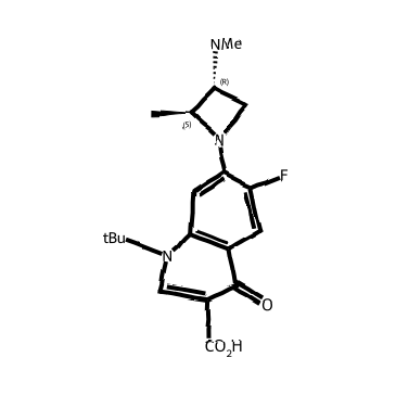 CN[C@@H]1CN(c2cc3c(cc2F)c(=O)c(C(=O)O)cn3C(C)(C)C)[C@H]1C